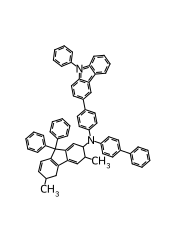 CC1C=CC2=C(C1)C1=CC(C)C(N(c3ccc(-c4ccccc4)cc3)c3ccc(-c4ccc5c(c4)c4ccccc4n5-c4ccccc4)cc3)C=C1C2(c1ccccc1)c1ccccc1